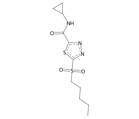 CCCCCS(=O)(=O)c1nnc(C(=O)NC2CC2)s1